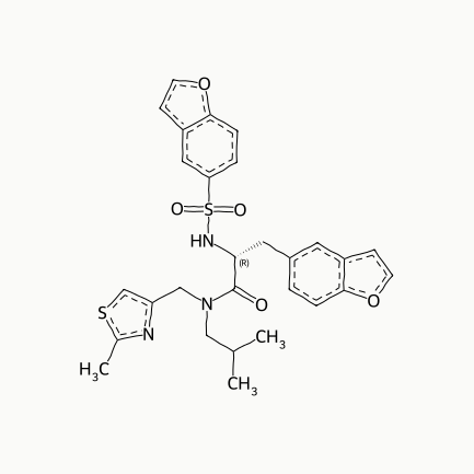 Cc1nc(CN(CC(C)C)C(=O)[C@@H](Cc2ccc3occc3c2)NS(=O)(=O)c2ccc3occc3c2)cs1